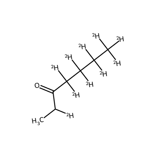 [2H]C(C)C(=O)C([2H])([2H])C([2H])([2H])C([2H])([2H])C([2H])([2H])[2H]